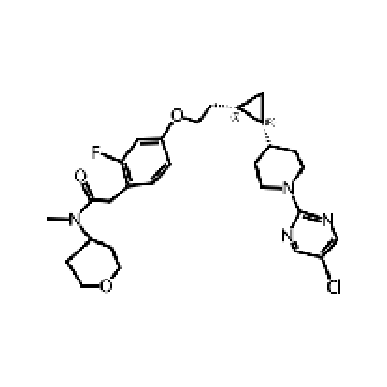 CN(C(=O)Cc1ccc(OCC[C@@H]2C[C@@H]2C2CCN(c3ncc(Cl)cn3)CC2)cc1F)C1CCOCC1